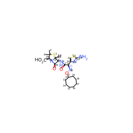 CC1(C)S[C@@H]2[C@H](NC(=O)/C(=N\OC3CCCCCCC3)c3csc(N)n3)C(=O)N2[C@H]1C(=O)O